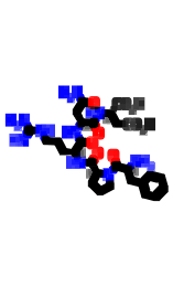 N=C(N)NCCC[C@H](NC(=O)[C@@H]1CCCN1C(=O)[C@@H](N)Cc1ccccc1)C(=O)N[C@@H](CC(N)=O)C(=O)N[C@@H](CC(=O)O)C(=O)O